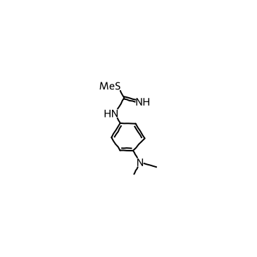 CSC(=N)Nc1ccc(N(C)C)cc1